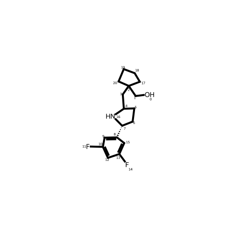 OCC1(CC2CC[C@H](c3cc(F)cc(F)c3)N2)CCCC1